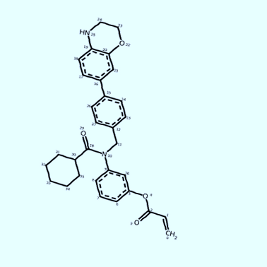 C=CC(=O)Oc1cccc(N(Cc2ccc(-c3ccc4c(c3)OCCN4)cc2)C(=O)C2CCCCC2)c1